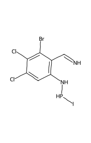 N=Cc1c(NPI)cc(Cl)c(Cl)c1Br